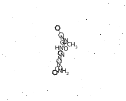 Cc1nc(N2CCC(c3ccccc3)CC2)oc1C(=O)Nc1ccc(N2CCN(C(=O)Cc3ccccc3N)CC2)nc1